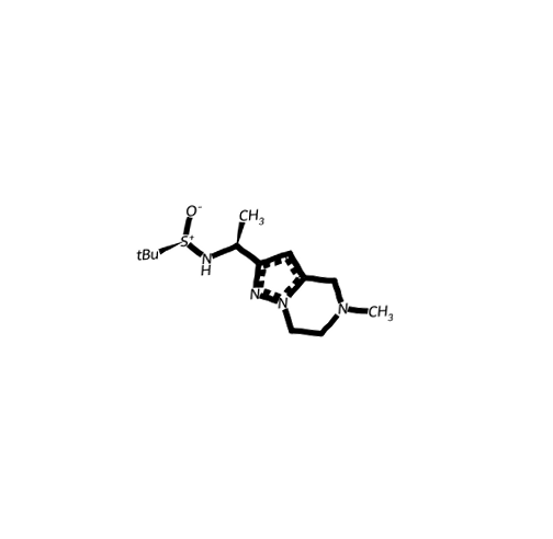 C[C@H](N[S@+]([O-])C(C)(C)C)c1cc2n(n1)CCN(C)C2